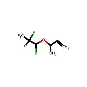 C=CC([SiH3])OC(F)C(F)(F)C(F)(F)F